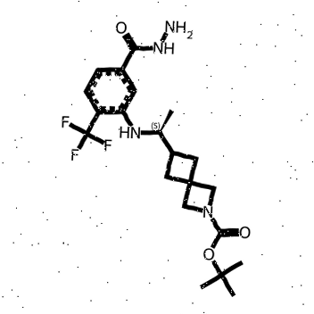 C[C@H](Nc1cc(C(=O)NN)ccc1C(F)(F)F)C1CC2(C1)CN(C(=O)OC(C)(C)C)C2